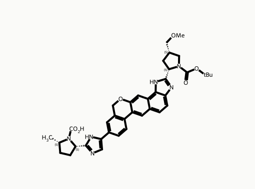 COC[C@H]1C[C@@H](c2nc3ccc4cc5c(cc4c3[nH]2)OCc2cc(-c3cnc([C@@H]4CC[C@H](C)N4C(=O)O)[nH]3)ccc2-5)N(C(=O)OC(C)(C)C)C1